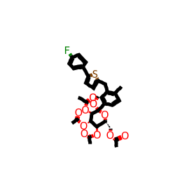 COC1(c2ccc(C)c(Cc3ccc(-c4ccc(F)cc4)s3)c2)O[C@H](COC(C)=O)[C@@H](OC(C)=O)[C@H](OC(C)=O)[C@H]1OC(C)=O